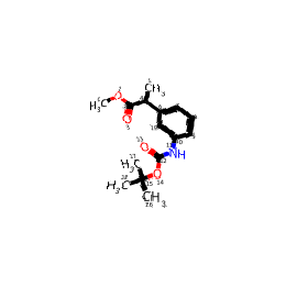 COC(=O)C(C)c1cccc(NC(=O)OC(C)(C)C)c1